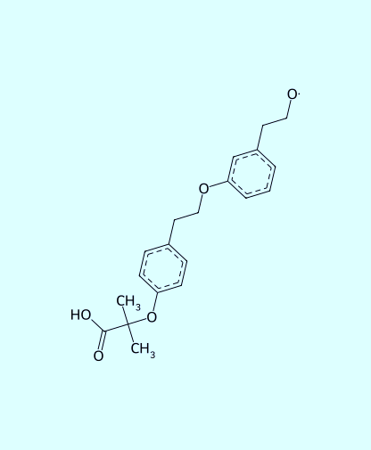 CC(C)(Oc1ccc(CCOc2cccc(CC[O])c2)cc1)C(=O)O